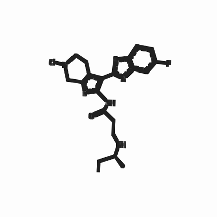 CC[C@H](C)NCCC(=O)Nc1sc2c(c1-c1nc3cc(F)ccc3s1)CCN(Cl)C2